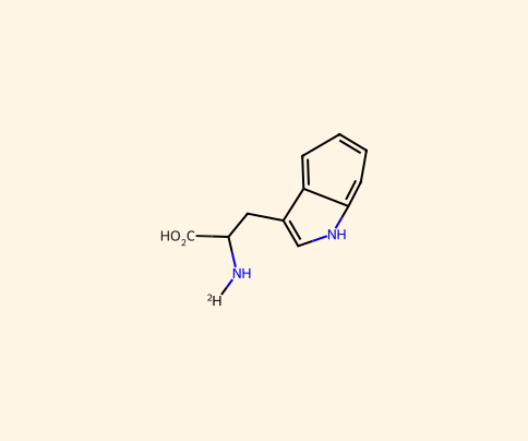 [2H]NC(Cc1c[nH]c2ccccc12)C(=O)O